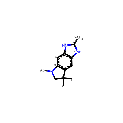 CC(=O)N1CC(C)(C)c2cc3c(cc21)NC(C(F)(F)F)N3